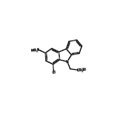 CCOC(=O)Cn1c2ccccc2c2cc(S(=O)(=O)O)cc(Cl)c21